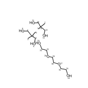 CC(C)(CO)CO.CC(C)(CO)CO.OCCOCCOCCO